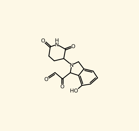 O=CC(=O)C1c2c(O)cccc2CN1C1CCC(=O)NC1=O